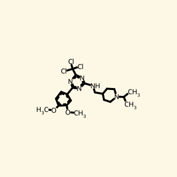 COc1ccc(-c2nc(NCC3CCN(C(C)C)CC3)nc(C(Cl)(Cl)Cl)n2)cc1OC